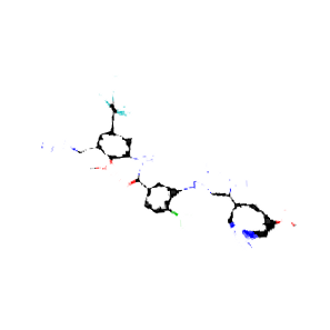 COc1cncc(/C(N)=C/N(N)c2cc(C(=O)Nc3cc(C(F)(F)F)cc(CN)c3OC)ccc2Cl)c1